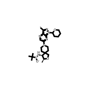 C[C@@H]1OCC2(CCN(c3cnc4c(I)nn(C5CCCCO5)c4n3)CC2)[C@@H]1N[S+]([O-])C(C)(C)C